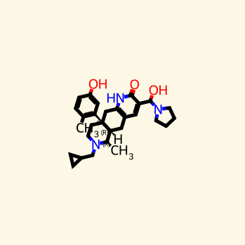 Cc1ccc(O)cc1[C@]12CCN(CC3CC3)[C@H](C)[C@@H]1Cc1cc(C(O)N3CCCC3)c(=O)[nH]c1C2